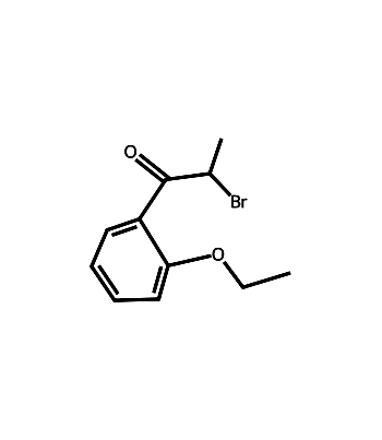 CCOc1ccccc1C(=O)C(C)Br